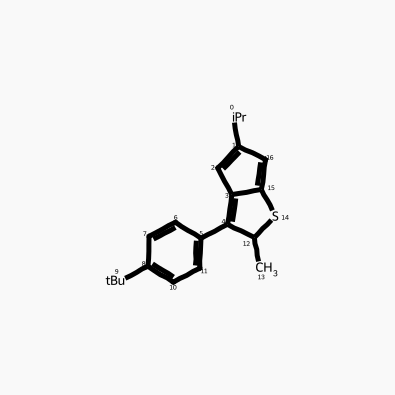 CC(C)C1=CC2=C(c3ccc(C(C)(C)C)cc3)C(C)SC2=[C]1